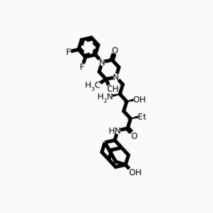 CC[C@H](C[C@H](O)[C@@H](N)CN1CC(=O)N(c2cccc(F)c2F)CC1(C)C)C(=O)NC1C2CC3CC1CC(O)(C3)C2